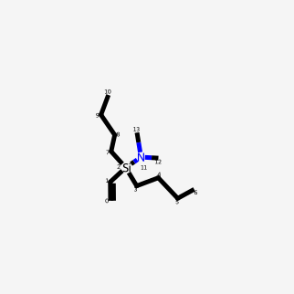 C=C[Si](CCCC)(CCCC)N(C)C